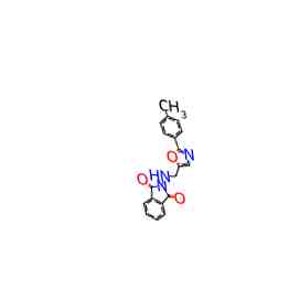 Cc1ccc(-c2ncc(CNN3C(=O)c4ccccc4C3=O)o2)cc1